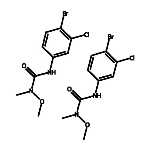 CON(C)C(=O)Nc1ccc(Br)c(Cl)c1.CON(C)C(=O)Nc1ccc(Br)c(Cl)c1